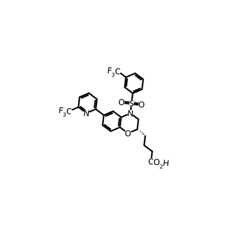 O=C(O)CCC[C@H]1CN(S(=O)(=O)c2cccc(C(F)(F)F)c2)c2cc(-c3cccc(C(F)(F)F)n3)ccc2O1